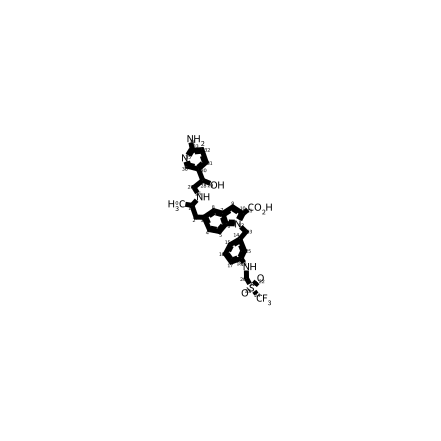 CC(Cc1ccc2c(c1)cc(C(=O)O)n2Cc1cccc(NCS(=O)(=O)C(F)(F)F)c1)NCC(O)c1ccc(N)nc1